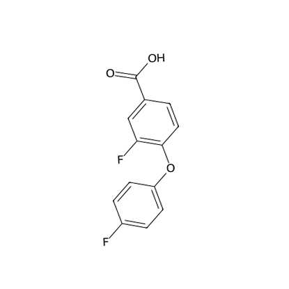 O=C(O)c1ccc(Oc2ccc(F)cc2)c(F)c1